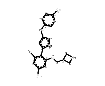 Cc1cc(F)c(-c2cc(Nc3cnc(C#N)cn3)n[nH]2)c(OCC2CNC2)c1